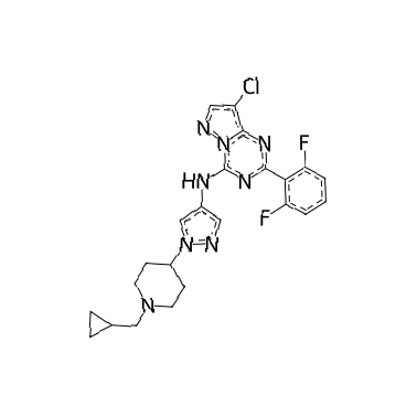 Fc1cccc(F)c1-c1nc(Nc2cnn(C3CCN(CC4CC4)CC3)c2)n2ncc(Cl)c2n1